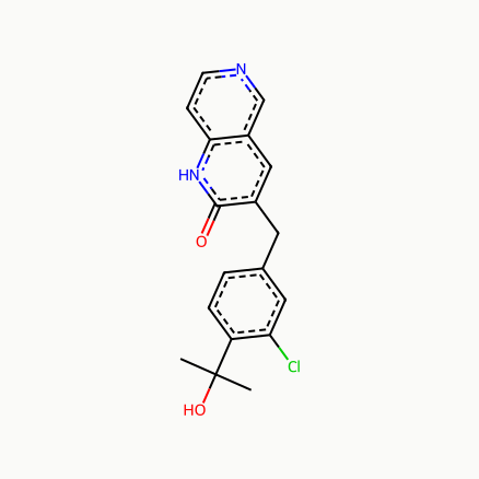 CC(C)(O)c1ccc(Cc2cc3cnccc3[nH]c2=O)cc1Cl